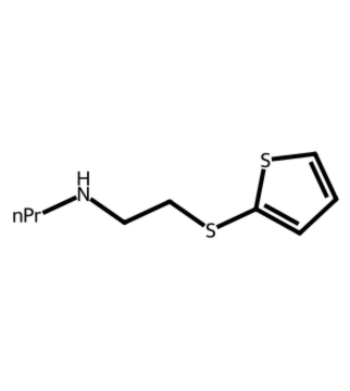 CCCNCCSc1cccs1